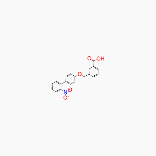 O=C(O)c1cccc(COc2ccc(-c3ccccc3[N+](=O)[O-])cc2)c1